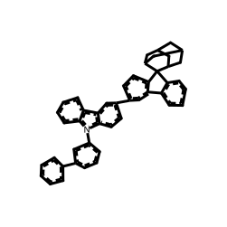 c1ccc(-c2cccc(-n3c4ccccc4c4cc(-c5ccc6c(c5)-c5ccccc5C65C6CC7CC(C6)CC5C7)ccc43)c2)cc1